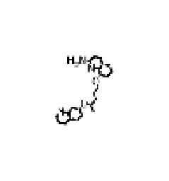 CC(CCCOc1cccc2ccc(N)nc12)Oc1ccc2cccnc2c1